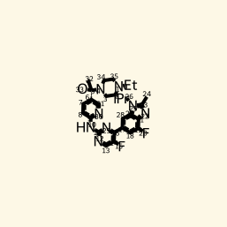 CCN1CCN([C@]2(c3ccc(Nc4ncc(F)c(-c5cc(F)c6nc(C)n(C(C)C)c6c5)n4)nc3)CO2)CC1